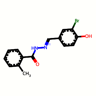 Cc1ccccc1C(=O)N/N=C/c1ccc(O)c(Br)c1